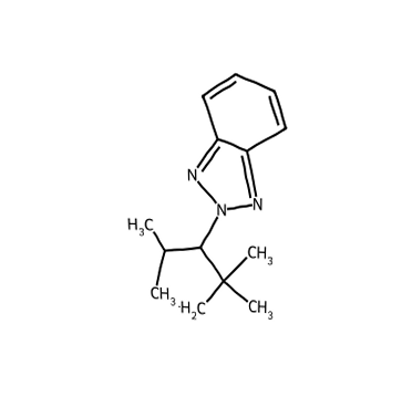 [CH2]C(C)(C)C(C(C)C)n1nc2ccccc2n1